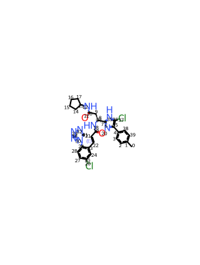 Cc1ccc(-c2nc([C@H](CC(=O)NC3CCCC3)NC(=O)/C=C/c3cc(Cl)ccc3-n3cnnn3)[nH]c2Cl)cc1